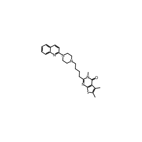 Cc1sc2nc(CCCCN3CCN(c4ccc5ccccc5n4)CC3)n(C)c(=O)c2c1C